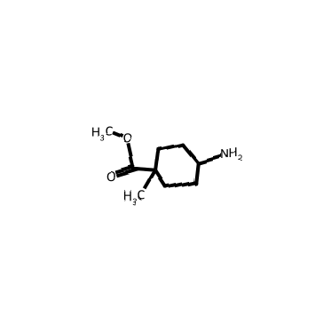 COC(=O)C1(C)CCC(N)CC1